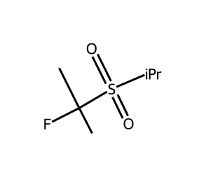 CC(C)S(=O)(=O)C(C)(C)F